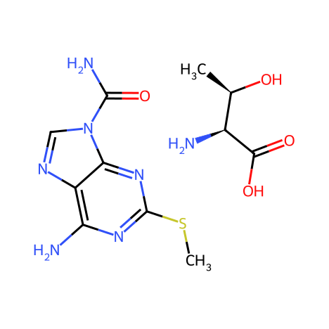 CSc1nc(N)c2ncn(C(N)=O)c2n1.C[C@@H](O)[C@H](N)C(=O)O